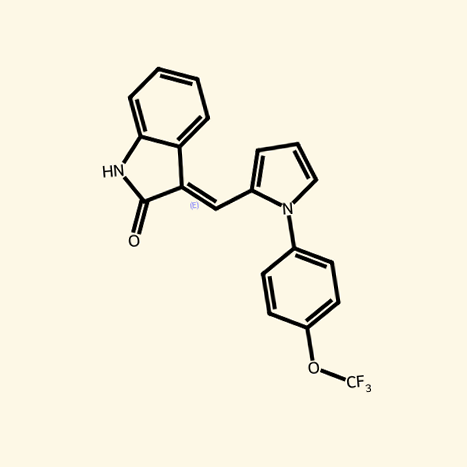 O=C1Nc2ccccc2/C1=C\c1cccn1-c1ccc(OC(F)(F)F)cc1